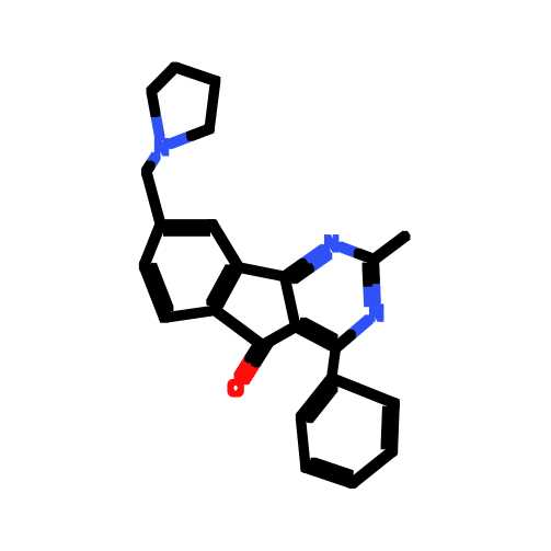 Cc1nc(-c2ccccc2)c2c(n1)-c1cc(CN3CCCC3)ccc1C2=O